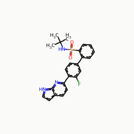 CC(C)(C)NS(=O)(=O)c1ccccc1-c1ccc(-c2ccc3cc[nH]c3n2)c(F)c1